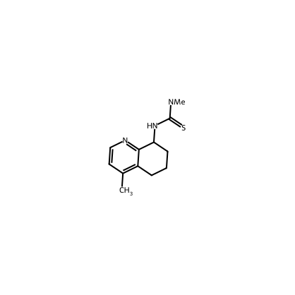 CNC(=S)NC1CCCc2c(C)ccnc21